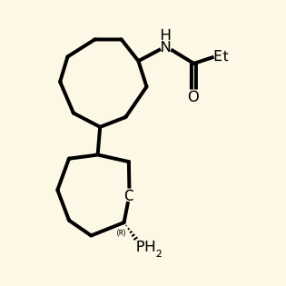 CCC(=O)NC1CCCCCC(C2CCCC[C@@H](P)CC2)CC1